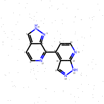 c1cc2c[nH]nc2c(-c2ccnc3[nH]ncc23)n1